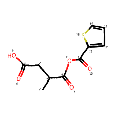 CC(CC(=O)O)C(=O)OC(=O)c1cccs1